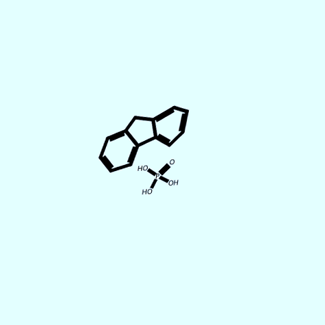 O=P(O)(O)O.c1ccc2c(c1)Cc1ccccc1-2